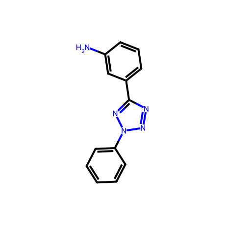 Nc1cccc(-c2nnn(-c3ccccc3)n2)c1